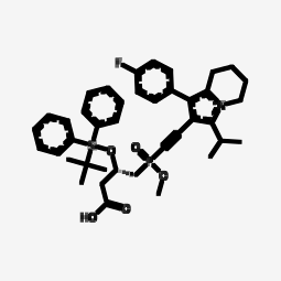 COP(=O)(C#Cc1c(-c2ccc(F)cc2)c2n(c1C(C)C)CCCC2)C[C@H](CC(=O)O)O[Si](c1ccccc1)(c1ccccc1)C(C)(C)C